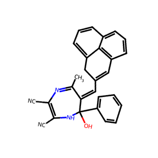 CC1=NC(C#N)=C(C#N)NC(O)(c2ccccc2)C1=CC1=Cc2cccc3cccc(c23)C1